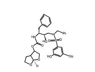 CC(C)CN(C[C@@H](O)[C@H](Cc1ccccc1)NC(=O)OC1CO[C@H]2OCCC12)S(=O)(=O)c1cc(O)cc(O)c1